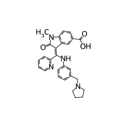 CN1C(=O)C(=C(Nc2cccc(CN3CCCC3)c2)c2ccccn2)c2cc(C(=O)O)ccc21